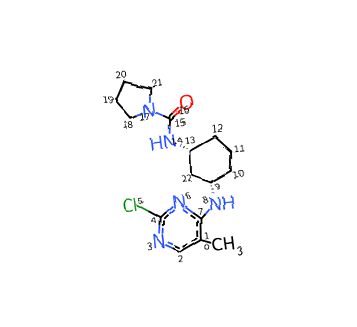 Cc1cnc(Cl)nc1N[C@H]1CCC[C@@H](NC(=O)N2CCCC2)C1